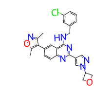 Cc1noc(C)c1-c1ccc2nc(-c3cnn(C4COC4)c3)nc(NCc3cccc(Cl)c3)c2c1